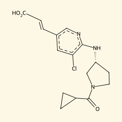 O=C(O)C=Cc1cnc(N[C@@H]2CCN(C(=O)C3CC3)C2)c(Cl)c1